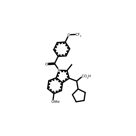 COc1ccc2c(c1)c(C(C(=O)O)C1CCCC1)c(C)n2C(=O)c1ccc(OC(F)(F)F)cc1